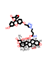 CC(=O)O[C@H]1C2C([C@@H](O)[C@H](NC(=O)CCCn3cc(COc4ccc5c(c4)Oc4cc(O)ccc4C54OC(=O)c5ccccc54)nn3)[C@H]3C[C@@H]4O[C@@H]4[C@H](O)[C@]23C)[C@@H]2[C@@H](O)[C@@H]3[C@H]([C@H](C)[C@H]4O[C@]45OC(=O)[C@@](C)(O)[C@]35C)[C@@]2(C)[C@H]1OC(C)=O